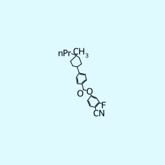 CCCC1(C)CCC(c2ccc(C(=O)Oc3ccc(C#N)c(F)c3)cc2)CC1